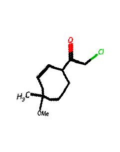 COC1(C)CCC(C(=O)CCl)CC1